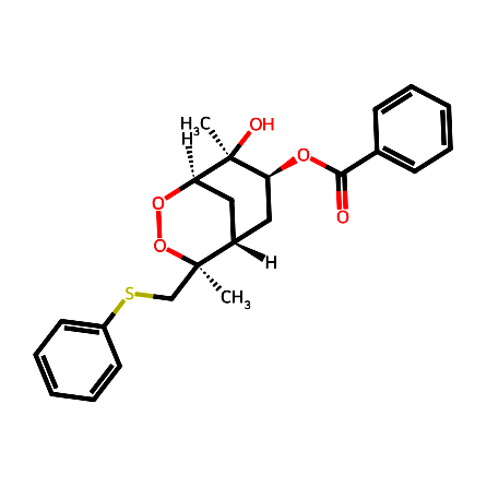 C[C@]1(O)[C@@H](OC(=O)c2ccccc2)C[C@H]2C[C@H]1OO[C@]2(C)CSc1ccccc1